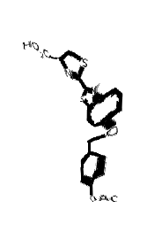 CC(=O)OC1=CC=C(COc2ccc3nc(C4=N[C@@H](C(=O)O)CS4)sc3c2)CC1